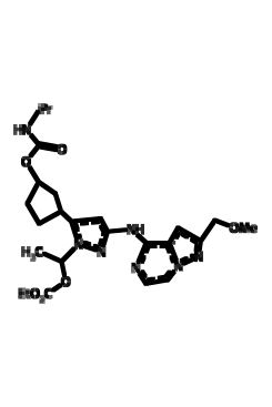 CCOC(=O)OC(C)n1nc(Nc2nccn3nc(COC)cc23)cc1C1CCC(OC(=O)NC(C)C)C1